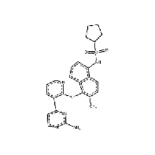 Cc1ccc2c(NS(=O)(=O)C3CCCC3)cccc2c1Oc1ncccc1-c1ccnc(N)n1